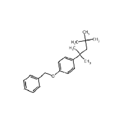 CC(C)(C)CC(C)(C)c1ccc(OCc2cc[c]cc2)cc1